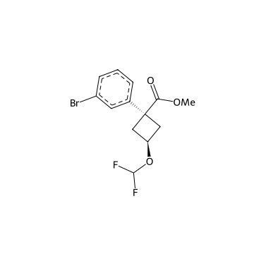 COC(=O)[C@]1(c2cccc(Br)c2)C[C@H](OC(F)F)C1